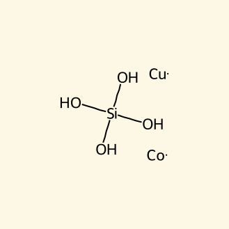 O[Si](O)(O)O.[Co].[Cu]